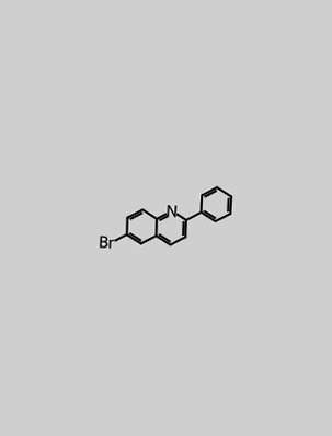 Brc1ccc2nc(-c3ccccc3)ccc2c1